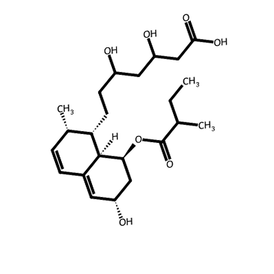 CCC(C)C(=O)O[C@H]1C[C@H](O)C=C2C=C[C@H](C)[C@H](CCC(O)CC(O)CC(=O)O)[C@H]21